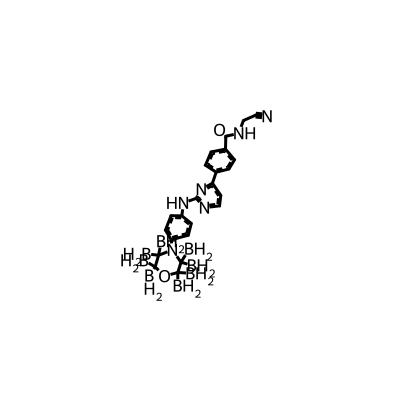 BC1(B)OC(B)(B)C(B)(B)N(c2ccc(Nc3nccc(-c4ccc(C(=O)NCC#N)cc4)n3)cc2)C1(B)B